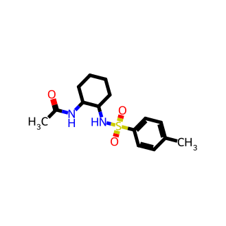 CC(=O)NC1CCCCC1NS(=O)(=O)c1ccc(C)cc1